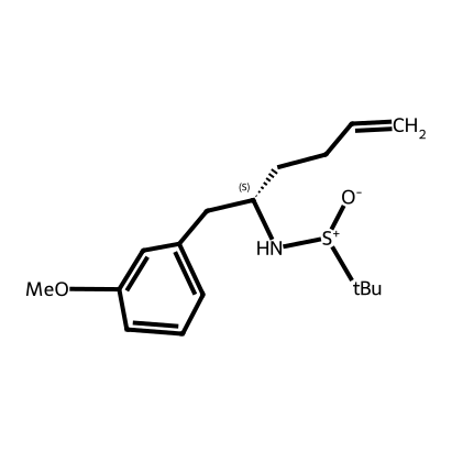 C=CCC[C@@H](Cc1cccc(OC)c1)N[S+]([O-])C(C)(C)C